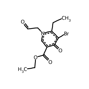 CCOC(=O)c1cn(CC=O)c(CC)c(Br)c1=O